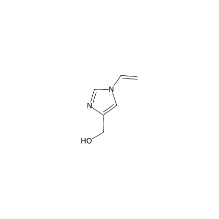 C=Cn1cnc(CO)c1